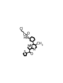 Cc1cnc2c(C(=O)c3cccs3)cnn2c1-c1cccc(NC(=O)OCCCl)c1